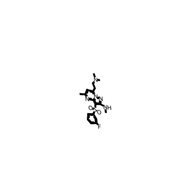 CNc1nn2c(CCN(C)C)cc(C)nc2c1S(=O)(=O)c1cccc(F)c1